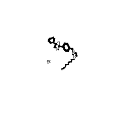 CCCCCCCC[n+]1ccn(Cc2ccc(-c3ncc(-c4ccccc4)o3)cc2)c1.[Br-]